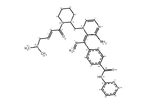 C=N/C(=C1/C(N)=NC=CN1CC1CCCCN1C(=O)/C=C/CN(C)C)c1ccc(C(=O)Nc2cccnn2)cc1